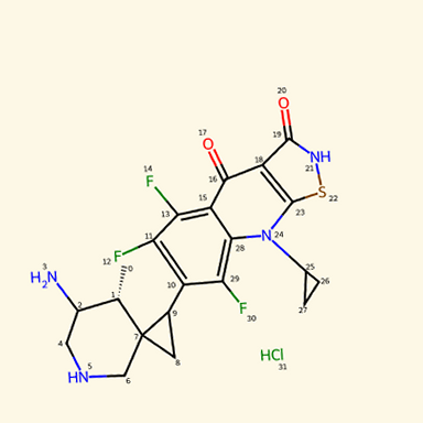 C[C@H]1C(N)CNCC12CC2c1c(F)c(F)c2c(=O)c3c(=O)[nH]sc3n(C3CC3)c2c1F.Cl